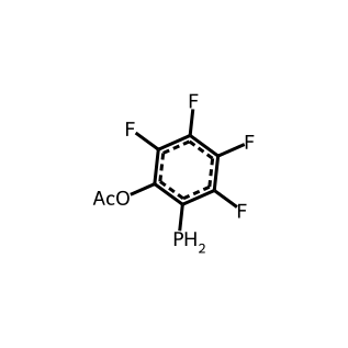 CC(=O)Oc1c(F)c(F)c(F)c(F)c1P